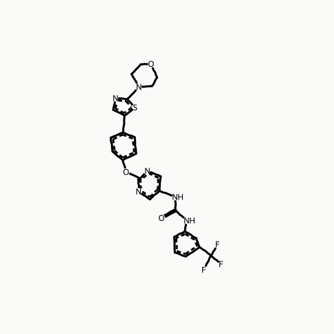 O=C(Nc1cnc(Oc2ccc(-c3cnc(N4CCOCC4)s3)cc2)nc1)Nc1cccc(C(F)(F)F)c1